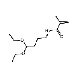 C=C(C)C(=O)NCCCC(OCC)OCC